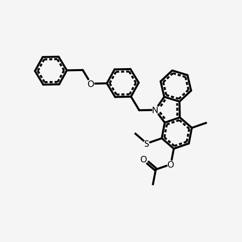 CSc1c(OC(C)=O)cc(C)c2c3ccccc3n(Cc3cccc(OCc4ccccc4)c3)c12